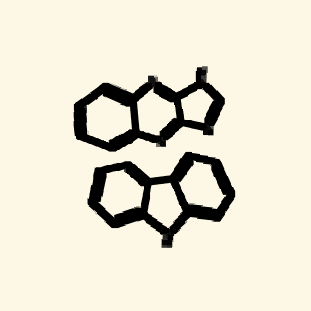 c1ccc2c(c1)[nH]c1ccccc12.c1ccc2nc3[nH]cnc3nc2c1